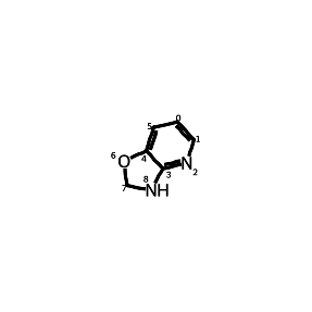 c1cnc2c(c1)OCN2